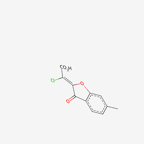 Cc1ccc2c(c1)OC(=C(Cl)C(=O)O)C2=O